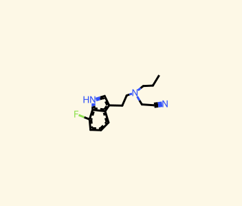 CCCN(CC#N)CCc1c[nH]c2c(F)cccc12